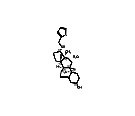 C[C@]12CC[C@H]3[C@@H](CC=C4C[C@@H](O)CC[C@@]43C)[C@@H]1CC[C@@H]2NCc1cccs1.O